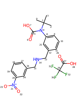 CC(C)(C)N(C(=O)O)c1cccc(CNCc2cccc([N+](=O)[O-])c2)c1.O=C(O)C(F)(F)F